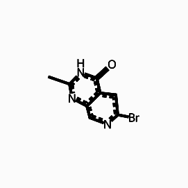 Cc1nc2cnc(Br)cc2c(=O)[nH]1